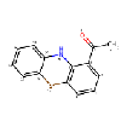 CC(=O)c1cccc2c1Nc1ccccc1S2